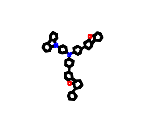 c1ccc(-c2cccc3c2oc2ccc(-c4ccc(N(c5ccc(-c6ccc7c(c6)oc6ccccc67)cc5)c5ccc(-n6c7ccccc7c7ccccc76)cc5)cc4)cc23)cc1